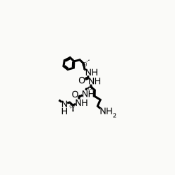 CNC[C@H](C)NC(=O)NC[C@H](CCCCN)NC(=O)NC[C@@H](C)Cc1ccccc1